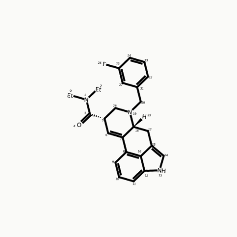 CCN(CC)C(=O)[C@H]1C=C2c3cccc4[nH]cc(c34)C[C@H]2N(Cc2cccc(F)c2)C1